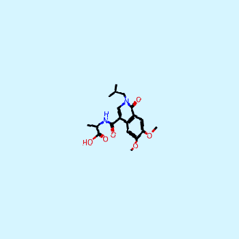 COc1cc2c(C(=O)NC(C)C(=O)O)cn(CC(C)C)c(=O)c2cc1OC